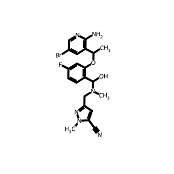 CC(Oc1cc(F)ccc1C(O)N(C)Cc1cc(C#N)n(C)n1)c1cc(Br)cnc1N